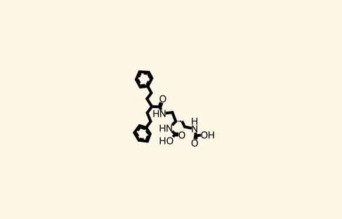 O=C(O)NCC[C@@H](CNC(=O)C(CCc1ccccc1)CCc1ccccc1)NC(=O)O